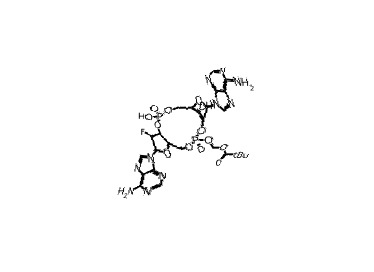 CC(C)(C)C(=O)OCOP1(=O)OCC2OC(n3cnc4c(N)ncnc43)C(F)C2OP(=O)(O)OCC2OC(n3cnc4c(N)ncnc43)C(O1)C2O